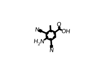 Cc1c(C(=O)O)cc(C#N)c(N)c1C#N